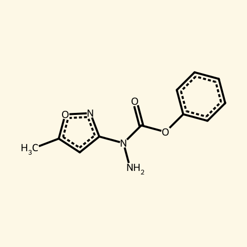 Cc1cc(N(N)C(=O)Oc2ccccc2)no1